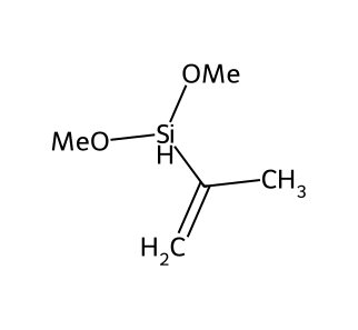 C=C(C)[SiH](OC)OC